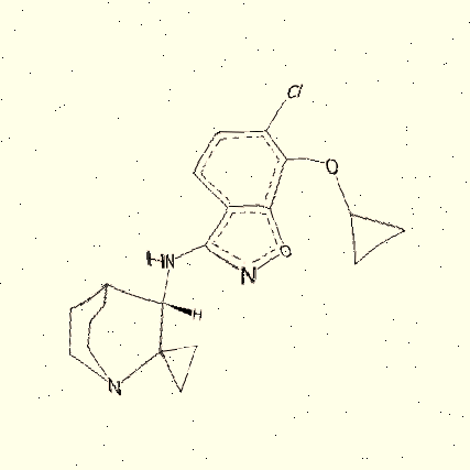 Clc1ccc2c(N[C@H]3C4CCN(CC4)C34CC4)noc2c1OC1CC1